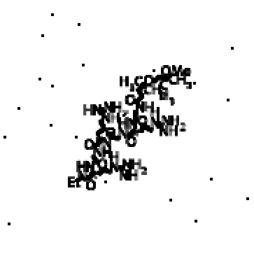 CCNC(=O)[C@@H](CCCNC(=N)N)NC(=O)CNC(=O)[C@@H](CCCNC(=N)N)NC(=O)CNC(=O)[C@@H](CCCNC(=N)N)NC(=O)CNC(=O)CCC(C)(C)OCCC(C)(C)OC